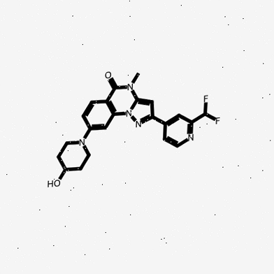 Cn1c(=O)c2ccc(N3CCC(O)CC3)cc2n2nc(-c3ccnc(C(F)F)c3)cc12